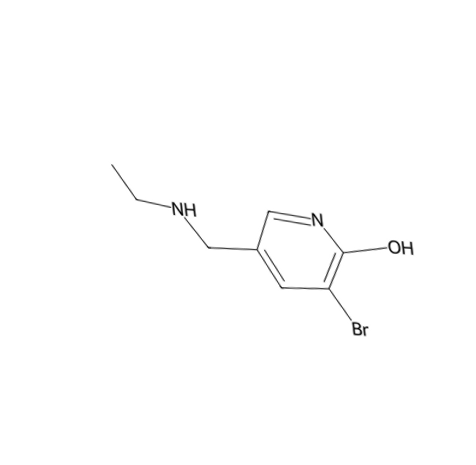 CCNCc1cnc(O)c(Br)c1